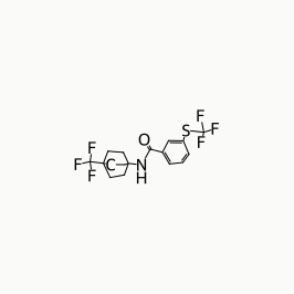 O=C(NC12CCC(C(F)(F)F)(CC1)CC2)c1cccc(SC(F)(F)F)c1